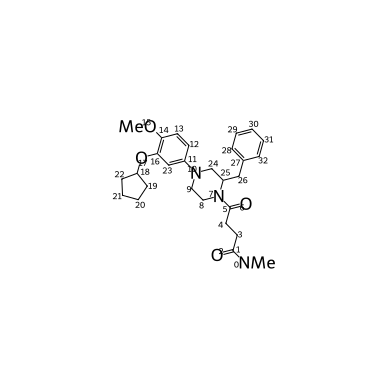 CNC(=O)CCC(=O)N1CCN(c2ccc(OC)c(OC3CCCC3)c2)CC1Cc1ccccc1